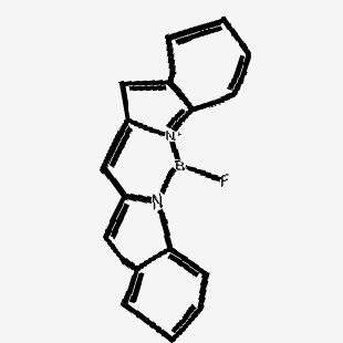 FB1n2c(cc3ccccc32)C=C2C=c3ccccc3=[N+]12